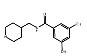 O=C(NCC1CC[N]CC1)c1cc(O)cc(O)c1